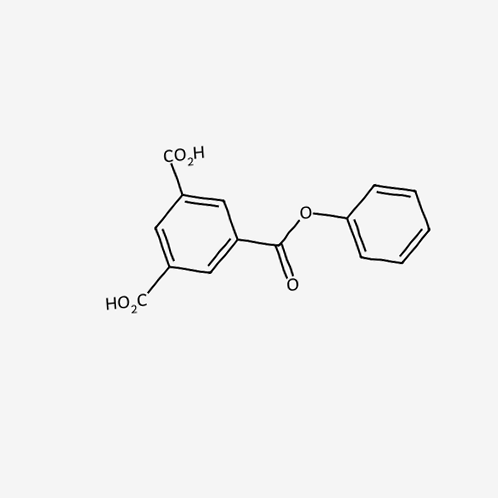 O=C(O)c1cc(C(=O)O)cc(C(=O)Oc2ccccc2)c1